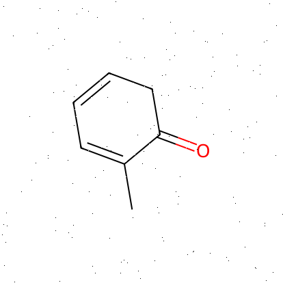 CC1=CC=CCC1=O